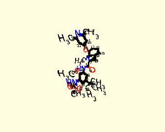 COc1c(NC(=O)c2cc3cccc(Oc4cc(C)nc(C)c4)c3n2C)cc(C(C)(C)C)cc1NS(C)(=O)=O